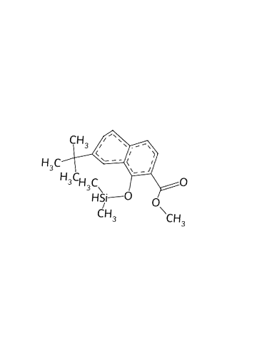 COC(=O)c1ccc2ccc(C(C)(C)C)cc2c1O[SiH](C)C